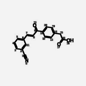 N#Cc1cccc(/C=C/C(=O)c2ccc(CC(=O)O)cc2)c1